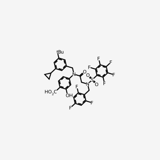 CC(C)(C)c1cc(CN(C(=O)CN(Cc2c(F)cc(F)cc2F)S(=O)(=O)c2c(F)c(F)c(F)c(F)c2F)c2ccc(C(=O)O)c(O)c2)cc(C2CC2)c1